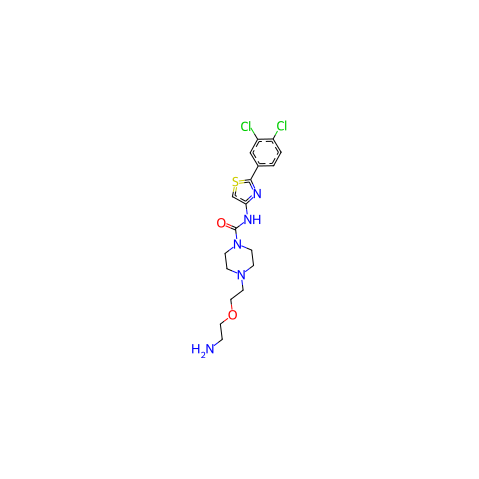 NCCOCCN1CCN(C(=O)Nc2csc(-c3ccc(Cl)c(Cl)c3)n2)CC1